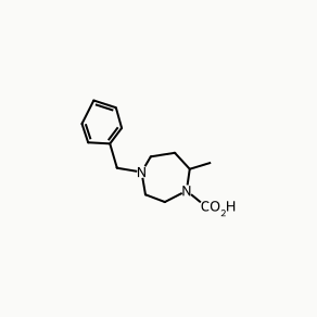 CC1CCN(Cc2ccccc2)CCN1C(=O)O